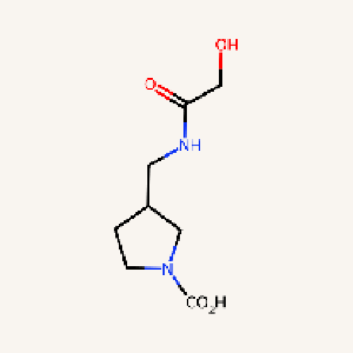 O=C(CO)NCC1CCN(C(=O)O)C1